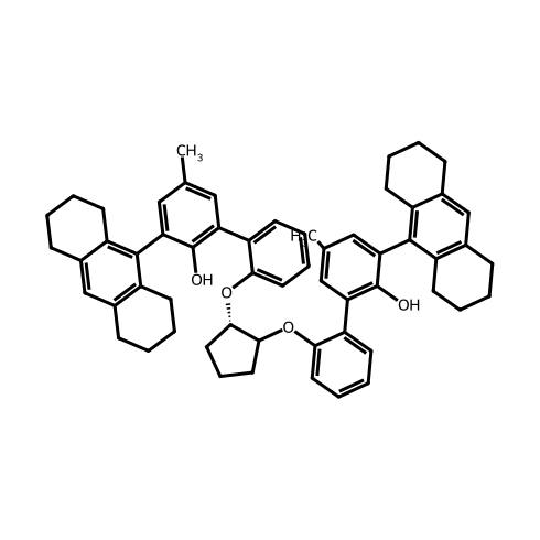 Cc1cc(-c2ccccc2OC2CCC[C@@H]2Oc2ccccc2-c2cc(C)cc(-c3c4c(cc5c3CCCC5)CCCC4)c2O)c(O)c(-c2c3c(cc4c2CCCC4)CCCC3)c1